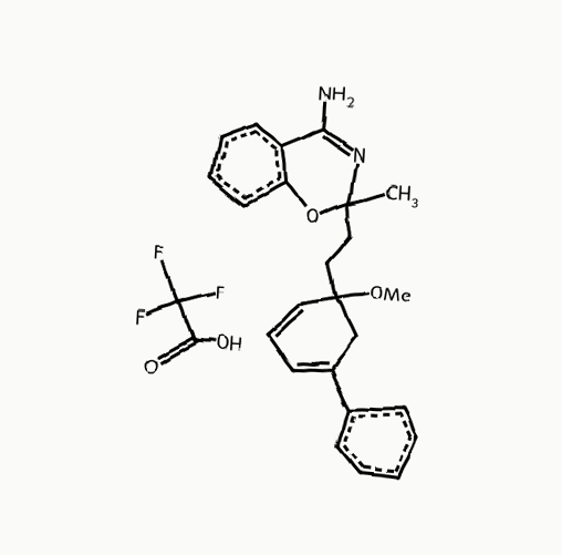 COC1(CCC2(C)N=C(N)c3ccccc3O2)C=CC=C(c2ccccc2)C1.O=C(O)C(F)(F)F